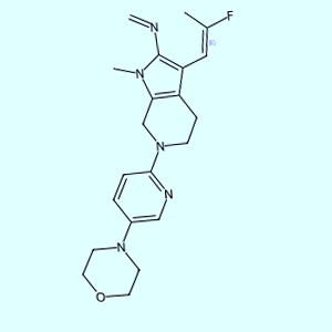 C=Nc1c(/C=C(\C)F)c2c(n1C)CN(c1ccc(N3CCOCC3)cn1)CC2